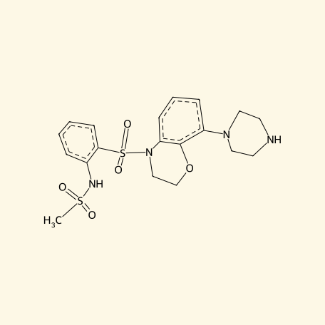 CS(=O)(=O)Nc1ccccc1S(=O)(=O)N1CCOc2c(N3CCNCC3)cccc21